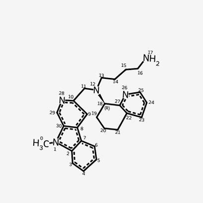 Cn1c2ccccc2c2cc(CN(CCCCN)[C@@H]3CCCc4cccnc43)ncc21